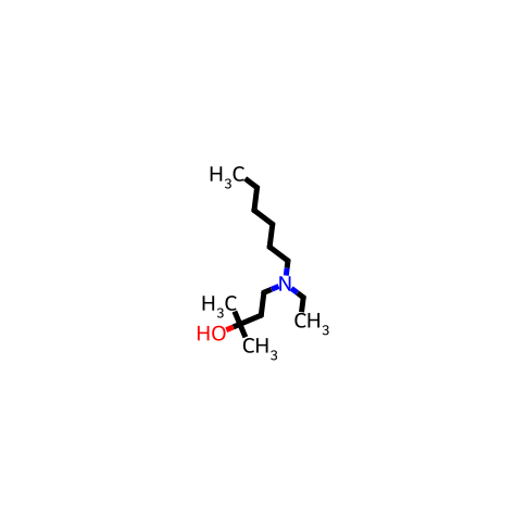 CCCCCCN(CC)CCC(C)(C)O